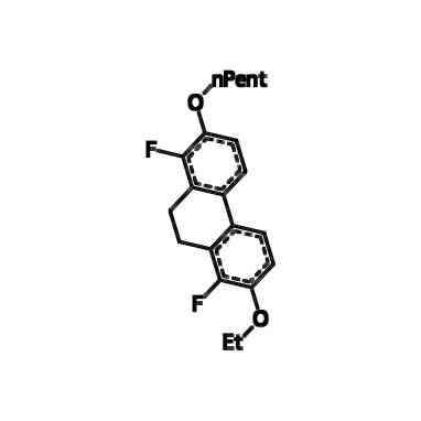 CCCCCOc1ccc2c(c1F)CCc1c-2ccc(OCC)c1F